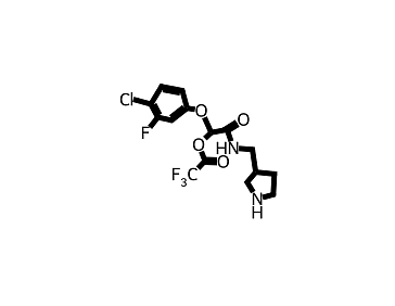 O=C(NCC1CCNC1)C(OC(=O)C(F)(F)F)Oc1ccc(Cl)c(F)c1